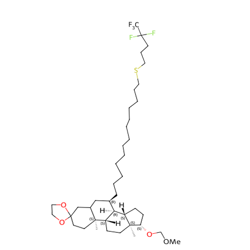 COCO[C@H]1CC[C@H]2[C@@H]3[C@H](CCCCCCCCCCCCCSCCCC(F)(F)C(F)(F)F)CC4CC5(CC[C@]4(C)[C@H]3CC[C@]12C)OCCO5